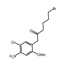 COc1cc(N)c(Cl)cc1CC(=O)CCCCBr